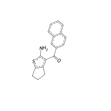 Nc1sc2c(c1C(=O)c1ccc3ccccc3c1)CCC2